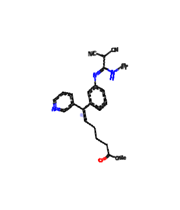 COC(=O)CCC/C=C(/c1cccnc1)c1cccc(N=C(NC(C)C)C(C#N)C#N)c1